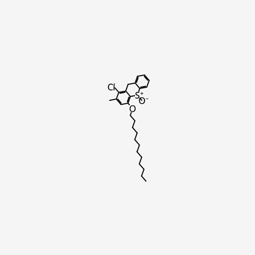 CCCCCCCCCCCCOc1cc(C)c(Cl)c2c1[S+]([O-])c1ccccc1C2